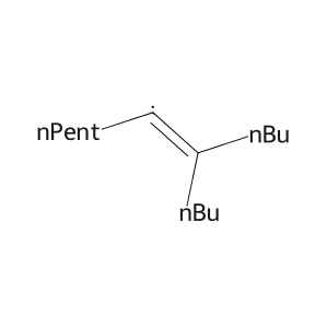 CCCCC[C]=C(CCCC)CCCC